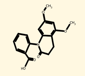 COc1cc(OC)c2c(c1)N(c1ccccc1C(=O)O)C(=O)CC2